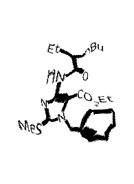 CCCCC(CC)C(=O)Nc1nc(SC)n(Cc2ccccc2)c1C(=O)OCC